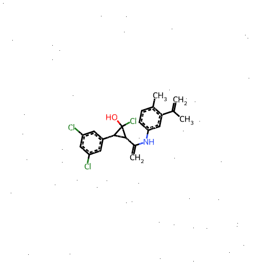 C=C(C)c1cc(NC(=C)C2C(c3cc(Cl)cc(Cl)c3)C2(O)Cl)ccc1C